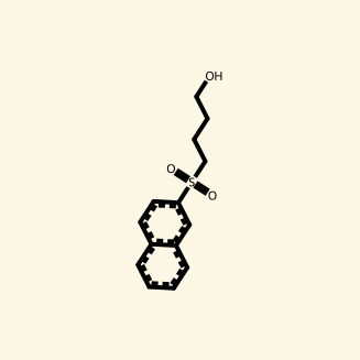 O=S(=O)(CCCCO)c1ccc2ccccc2c1